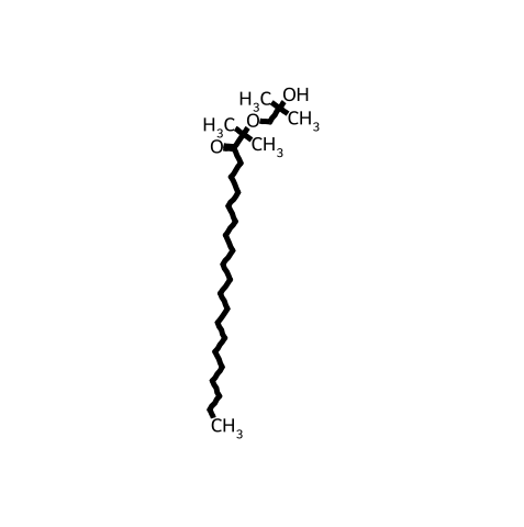 CCCCCCCCCCCCCCCCCCCC(=O)C(C)(C)OCC(C)(C)O